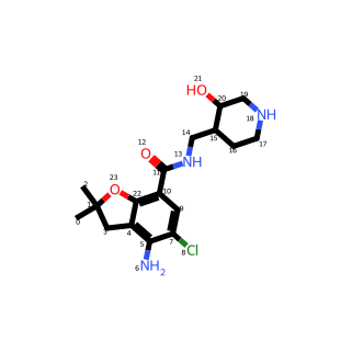 CC1(C)Cc2c(N)c(Cl)cc(C(=O)NCC3CCNCC3O)c2O1